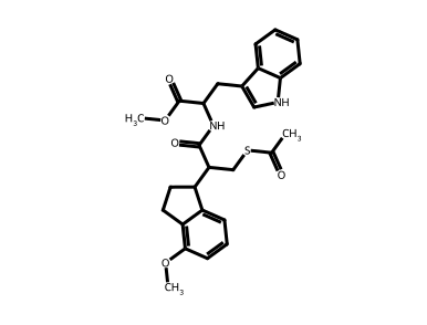 COC(=O)C(Cc1c[nH]c2ccccc12)NC(=O)C(CSC(C)=O)C1CCc2c(OC)cccc21